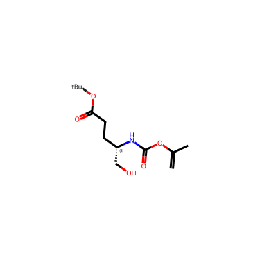 C=C(C)OC(=O)N[C@H](CO)CCC(=O)OC(C)(C)C